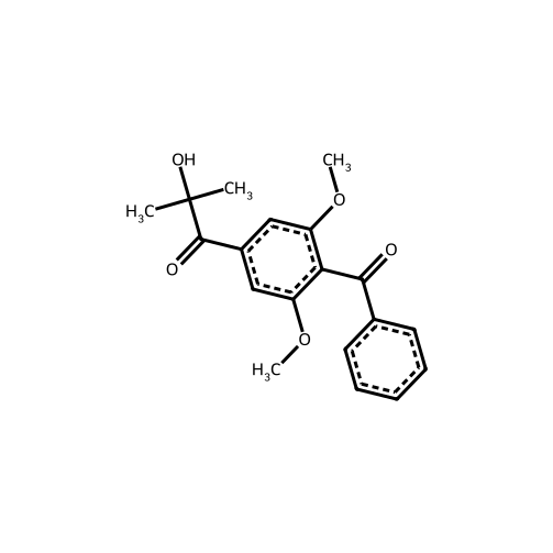 COc1cc(C(=O)C(C)(C)O)cc(OC)c1C(=O)c1ccccc1